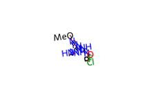 COCCN1CCN(c2cc(Nc3cc(C)[nH]n3)nc(NC3CCN(C(=O)c4cccc(Cl)c4F)CC3)n2)CC1